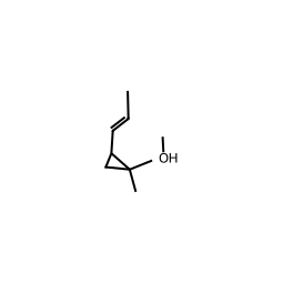 CC=CC1CC1(C)C.CO